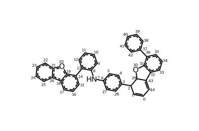 C1=CC(c2ccc(Nc3ccccc3-c3cccc4c3oc3ccccc34)cc2)C2Oc3c(cccc3-c3ccccc3)C2=C1